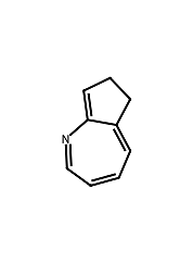 C1=CC=C2CCC=C2N=C1